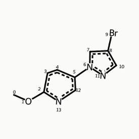 COc1ccc(-n2cc(Br)cn2)cn1